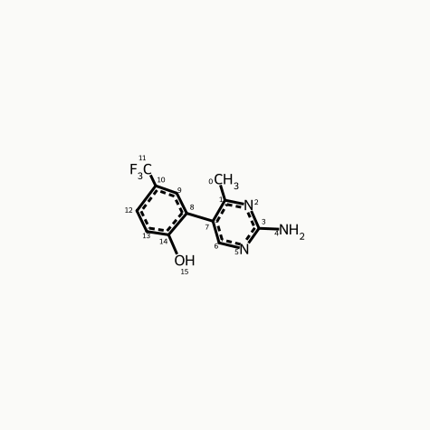 Cc1nc(N)ncc1-c1cc(C(F)(F)F)ccc1O